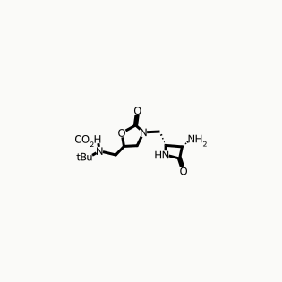 CC(C)(C)N(CC1CN(C[C@H]2NC(=O)[C@H]2N)C(=O)O1)C(=O)O